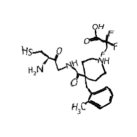 Cc1ccccc1CC1(C(=O)NCC(=O)[C@@H](N)CS)CCNCC1.O=C(O)C(F)(F)F